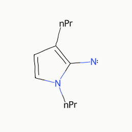 CCCc1ccn(CCC)c1[N]